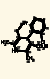 CC1=C(SC(C)C)C(c2ccccc2Cl)C(C(=O)O)=C(C)N1